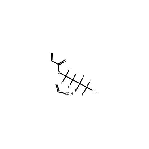 C=CC(=O)O.C=CC(=O)OC(F)(F)C(F)(F)C(F)(F)C(F)(F)C(F)(F)F